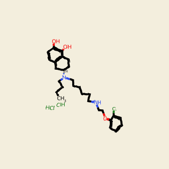 CCCCN(CCCCCCNCCOc1ccccc1Cl)[C@H]1CCc2c(ccc(O)c2O)C1.Cl.Cl